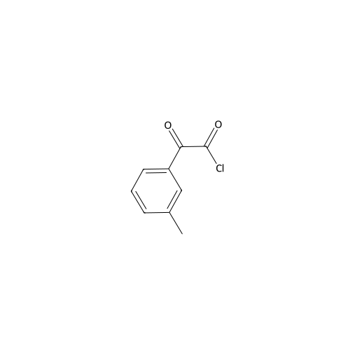 Cc1cccc(C(=O)C(=O)Cl)c1